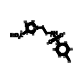 CCOC(=O)c1cn(CCNS(=O)(=O)c2ccc(C)cc2)cn1